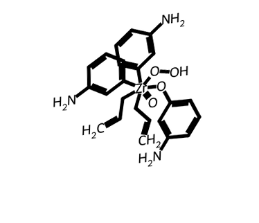 C=C[CH2][Zr](=[O])([CH2]C=C)([O]O)([O]c1cccc(N)c1)([c]1cccc(N)c1)[c]1cccc(N)c1